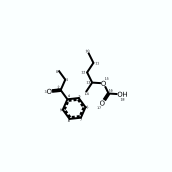 CCC(=O)c1ccccc1.CCCC(C)OC(=O)O